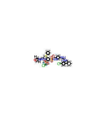 O=C(NS(=O)(=O)c1ccc(N[C@H](CCN2C[C@@H]3C[C@H]2CO3)CSc2ccccc2)c(S(=O)(=O)C(F)(F)Cl)c1)c1ccc(NCCNCC2=C(c3ccc(Cl)cc3)CCCC2)cc1